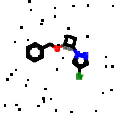 Brc1cnn([C@@H]2CC[C@H]2OCc2ccccc2)c1